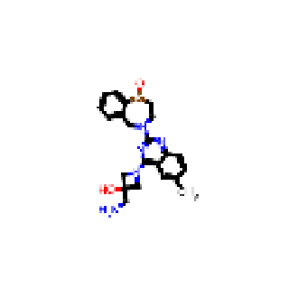 Cc1ccc2nc(N3CC[S+]([O-])c4ccccc4C3)nc(N3CC(O)(CN)C3)c2c1